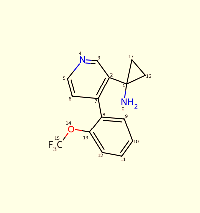 NC1(c2cnccc2-c2ccccc2OC(F)(F)F)CC1